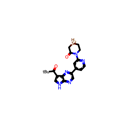 CC(C)(C)C(=O)c1c[nH]c2ncc(-c3ccnc(N4CC[SH2]CC4=O)c3)nc12